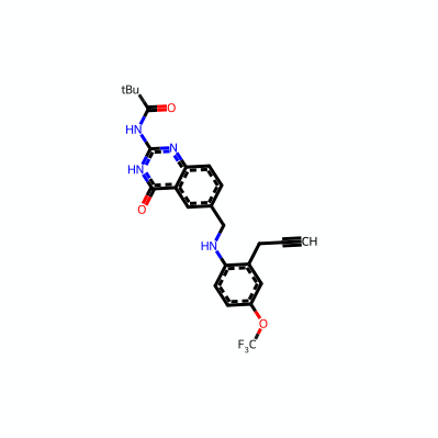 C#CCc1cc(OC(F)(F)F)ccc1NCc1ccc2nc(NC(=O)C(C)(C)C)[nH]c(=O)c2c1